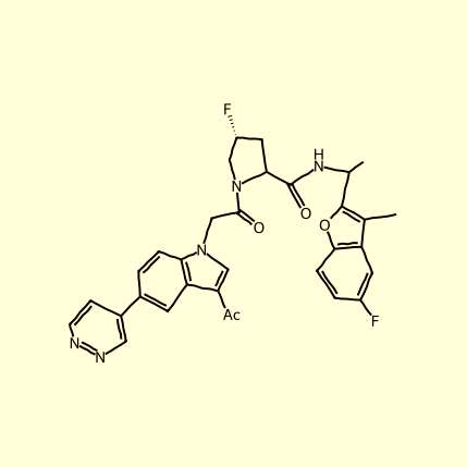 CC(=O)c1cn(CC(=O)N2C[C@H](F)CC2C(=O)NC(C)c2oc3ccc(F)cc3c2C)c2ccc(-c3ccnnc3)cc12